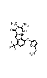 CN(C(=N)N)C(=O)c1cc2c(C(F)(F)F)ccc(Oc3ccc(CN)o3)c2[nH]1